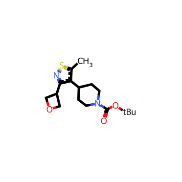 Cc1snc(C2COC2)c1C1CCN(C(=O)OC(C)(C)C)CC1